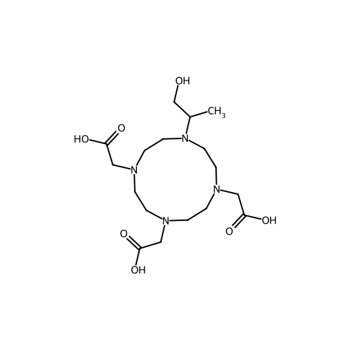 CC(CO)N1CCN(CC(=O)O)CCN(CC(=O)O)CCN(CC(=O)O)CC1